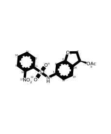 CC(=O)O[C@@H]1COc2cc(NS(=O)(=O)c3ccccc3[N+](=O)[O-])ccc21